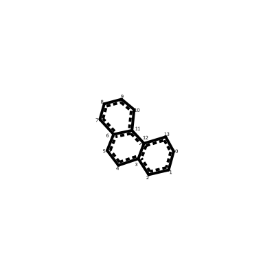 [c]1ccc2ccc3cc[c]cc3c2c1